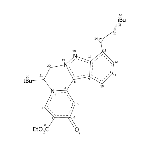 CCOC(=O)c1cn2c(cc1=O)-c1c3cccc(OC[C@@H](C)CC)c3nn1CC2C(C)(C)C